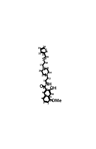 COc1cccc2cc(C(=O)NCCN3CCN(CCSCc4cccs4)CC3)c(O)cc12